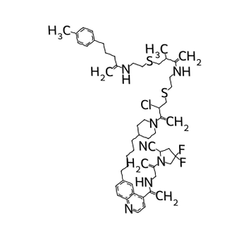 C=C(CCCc1ccc(C)cc1)NCCSCC(C)C(=C)NCCSCC(Cl)C(=C)N1CCC(CCCCCc2ccc3nccc(C(=C)NCC(=C)N4CC(F)(F)CC4C#N)c3c2)CC1